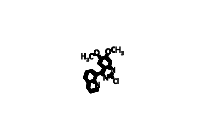 COc1cc2nc(Cl)nc(-c3cccc4cccnc34)c2cc1OC